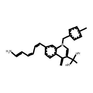 C=C1C(C(C)(CCC)CCC)=CN(Cc2ccc(C)cc2)c2cc(\C=C/C=C\C=C\N)ccc21